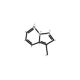 Cc1cnn2ncccc12